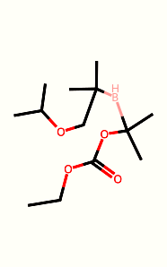 CCOC(=O)OC(C)(C)BC(C)(C)COC(C)C